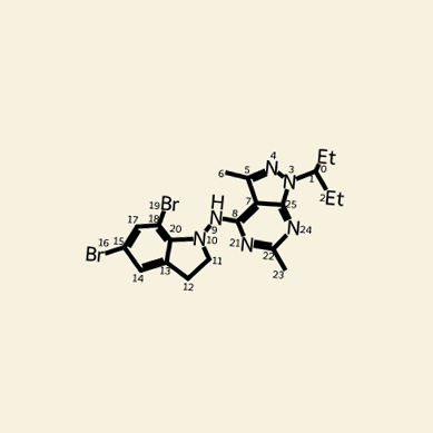 CCC(CC)n1nc(C)c2c(NN3CCc4cc(Br)cc(Br)c43)nc(C)nc21